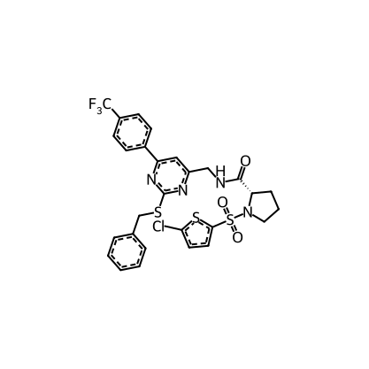 O=C(NCc1cc(-c2ccc(C(F)(F)F)cc2)nc(SCc2ccccc2)n1)[C@@H]1CCCN1S(=O)(=O)c1ccc(Cl)s1